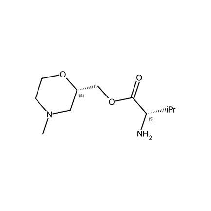 CC(C)[C@H](N)C(=O)OC[C@@H]1CN(C)CCO1